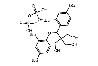 CC(C)(C)c1ccc(OC(c2ccc(C(C)(C)C)cc2C(C)(C)C)C(CO)(CO)CO)c(C(C)(C)C)c1.O=P(O)(O)OP(=O)(O)O